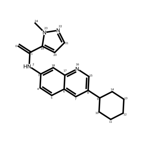 C=C(Nc1ccc2cc(C3CCCCC3)cnc2c1)c1ccnn1C